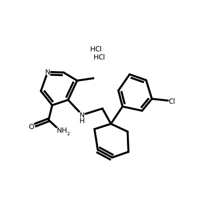 Cc1cncc(C(N)=O)c1NCC1(c2cccc(Cl)c2)CC#CCC1.Cl.Cl